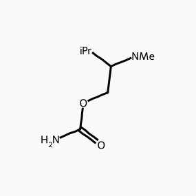 CNC(COC(N)=O)C(C)C